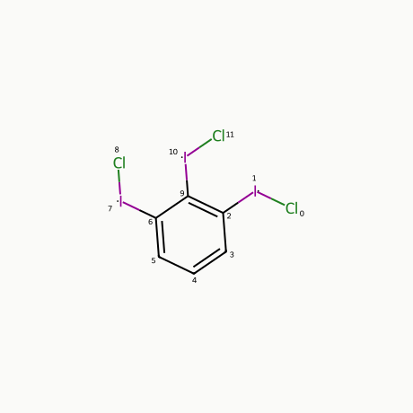 Cl[I]c1cccc([I]Cl)c1[I]Cl